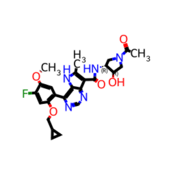 COc1cc(-c2ncnc3c(C(=O)N[C@@H]4CN(C(C)=O)C[C@H]4O)c(C)[nH]c23)c(OCC2CC2)cc1F